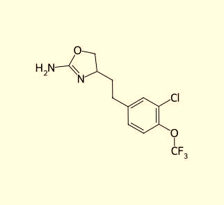 NC1=NC(CCc2ccc(OC(F)(F)F)c(Cl)c2)CO1